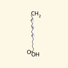 C=C/C=C/C/C=C/C/C=C/CCCCCC(=O)O